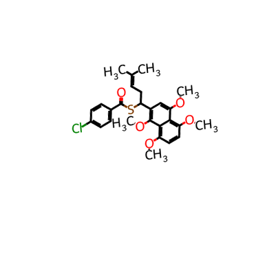 COc1ccc(OC)c2c(OC)c(C(CC=C(C)C)SC(=O)c3ccc(Cl)cc3)cc(OC)c12